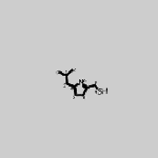 CC(C)CC1=CCC(CS)=N1